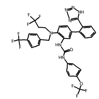 O=C(Nc1ccc(OC(F)(F)F)cc1)Nc1cc(-c2ccccc2-c2nnn[nH]2)ccc1N(CCC(F)(F)F)Cc1ccc(C(F)(F)F)cc1